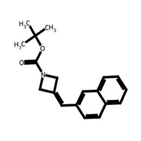 CC(C)(C)OC(=O)N1CC(=Cc2ccc3ccccc3c2)C1